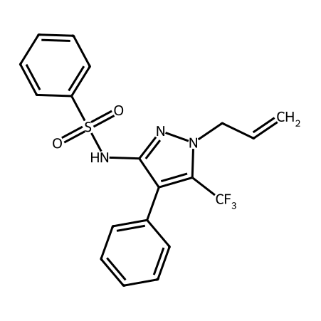 C=CCn1nc(NS(=O)(=O)c2ccccc2)c(-c2ccccc2)c1C(F)(F)F